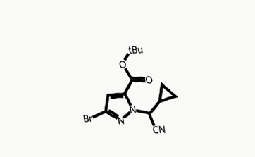 CC(C)(C)OC(=O)c1cc(Br)nn1C(C#N)C1CC1